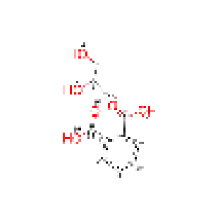 CC(O)CO.O=C(O)c1ccccc1C(=O)O